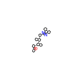 c1cc(-c2cnc3c4ccccc4c4ccccc4c3n2)cc(-c2ccc(-c3cc(-c4cccc5c4oc4ccccc45)cc4ccccc34)c3ccccc23)c1